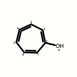 OC1=CC=C=CC=C1